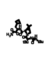 CC(C)(C)NC(=O)N[C@H](C(=O)N1CC2C([C@H]1C(=O)N[C@H](CC1CCC1)C(=O)C(N)=O)C2(C)C)C(C)(C)C